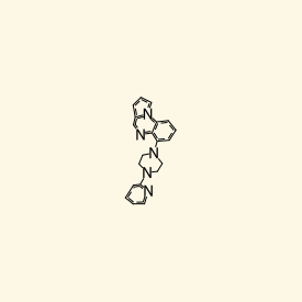 c1ccc(N2CCN(c3cccc4c3ncc3cccn34)CC2)nc1